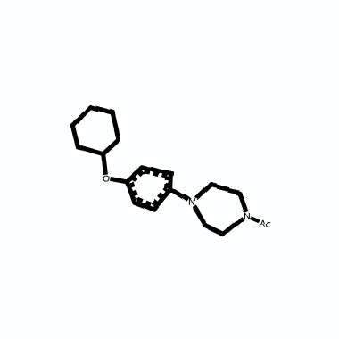 CC(=O)N1CCN(c2ccc(OC3CCCCC3)cc2)CC1